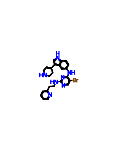 Brc1cnc(NCCc2ccccn2)nc1Nc1ccc2[nH]cc(C3=CCNCC3)c2c1